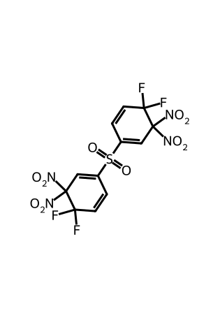 O=[N+]([O-])C1([N+](=O)[O-])C=C(S(=O)(=O)C2=CC([N+](=O)[O-])([N+](=O)[O-])C(F)(F)C=C2)C=CC1(F)F